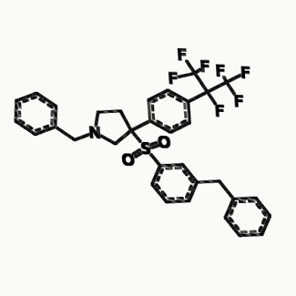 O=S(=O)(c1cccc(Cc2ccccc2)c1)C1(c2ccc(C(F)(C(F)(F)F)C(F)(F)F)cc2)CCN(Cc2ccccc2)C1